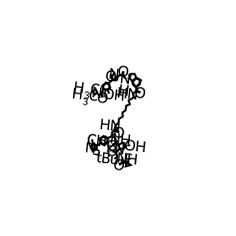 Cc1ncsc1-c1ccc(C(CC(=O)NCCCCCCCCCNC(=O)c2ccc3c(c2)[C@H](NC(=O)c2cc(-c4ccc(C(=O)N(C)C)c(O)c4)on2)CC3)NC(=O)[C@@H]2C[C@@H](O)CN2C(=O)C(NC(=O)C2(F)CC2)C(C)(C)C)cc1